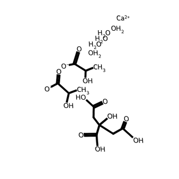 CC(O)C(=O)[O-].CC(O)C(=O)[O-].O.O.O.O.O.O=C(O)CC(O)(CC(=O)O)C(=O)O.[Ca+2]